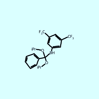 CC(C)OC(Bc1cc(C(F)(F)F)cc(C(F)(F)F)c1)(OC(C)C)c1ccccc1